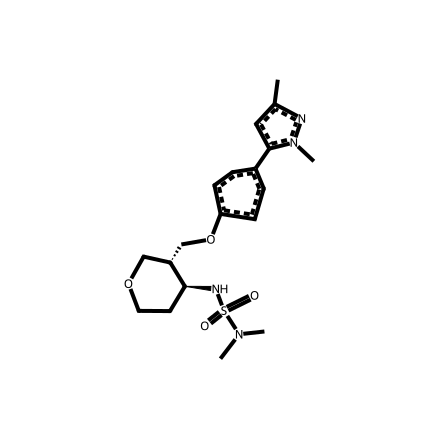 Cc1cc(-c2ccc(OC[C@H]3COCC[C@@H]3NS(=O)(=O)N(C)C)cc2)n(C)n1